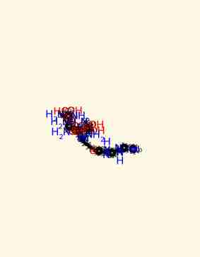 CN1CCN(c2ccc3nc(-c4ccc5nc(-c6ccc(OCCCCc7cn(C[C@H]8O[C@@H](O[C@@H]9C(O)[C@H](N)CC(N)[C@H]9O[C@@H]9OC(CN)[C@@H](O)[C@H](O)C9N)[C@@H](O)C8O[C@H]8O[C@@H](CN)[C@@H](O)C(O)C8N)nn7)cc6)[nH]c5c4)[nH]c3c2)CC1